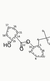 CC(C)(C)Cc1ccccc1OC(=O)c1ccccc1O